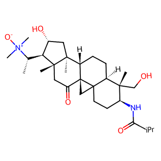 CC(C)C(=O)N[C@H]1CCC23C[C@]24C(=O)C[C@]2(C)[C@@H]([C@H](C)[N+](C)(C)[O-])[C@H](O)C[C@@]2(C)[C@@H]4CC[C@H]3[C@]1(C)CO